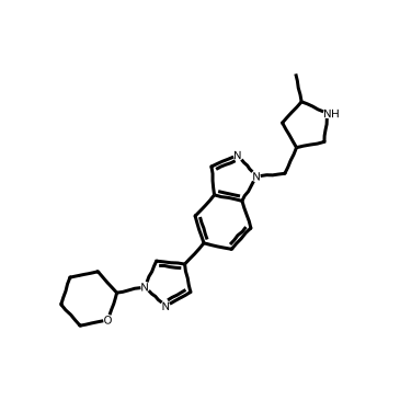 CC1CC(Cn2ncc3cc(-c4cnn(C5CCCCO5)c4)ccc32)CN1